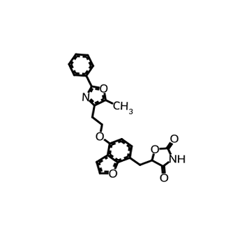 Cc1oc(-c2ccccc2)nc1CCOc1ccc(CC2OC(=O)NC2=O)c2occc12